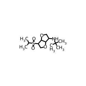 CC(C)S(=O)(=O)C1COC2C(NC(C)(C)C)COC21